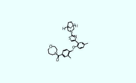 Cc1ccc(OCc2ccc(C(=O)N3CCCOCC3)cc2C)c(-c2csc(N3C[C@@H]4CC[C@@H](C4)C3)n2)c1